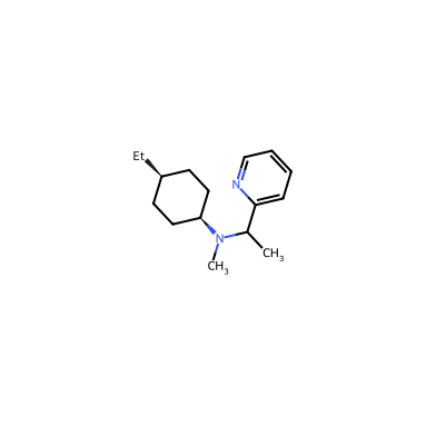 CC[C@H]1CC[C@@H](N(C)C(C)c2ccccn2)CC1